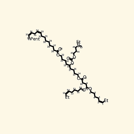 CC/C=C\CCCCOC(CCC(=O)OCCCCC(CCCCOC(=O)CCCCCCC/C=C\C/C=C\CCCCC)OC(=O)OCCCN(C)CC)OCCCC/C=C\CC